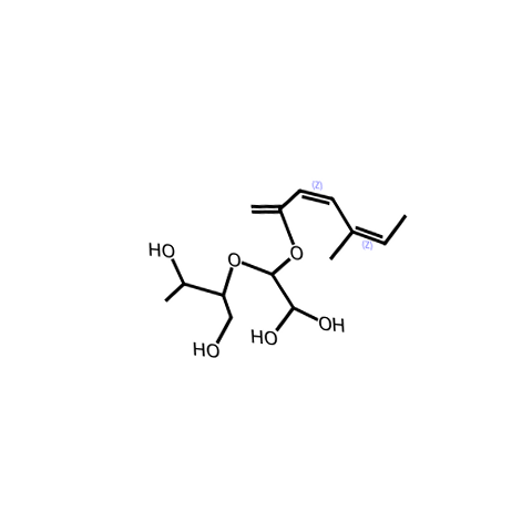 C=C(/C=C\C(C)=C/C)OC(OC(CO)C(C)O)C(O)O